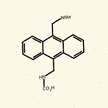 CNCc1c2ccccc2c(CNC(=O)O)c2ccccc12